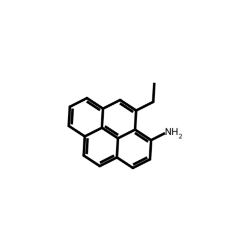 CCc1cc2cccc3ccc4ccc(N)c1c4c32